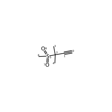 C#CC(C)(C)S(C)(=O)=O